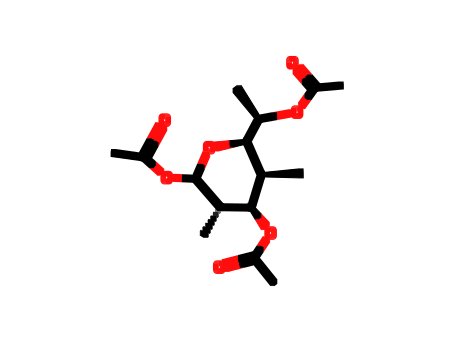 CC(=O)OC1O[C@@H]([C@@H](C)OC(C)=O)[C@@H](C)[C@@H](OC(C)=O)[C@@H]1C